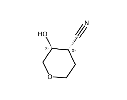 N#C[C@@H]1CCOC[C@@H]1O